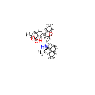 Cc1ccc([C@@H]2C[C@H](CCCN[C@H](C)c3cccc4ccccc34)Oc3ccccc32)cc1C(=O)O